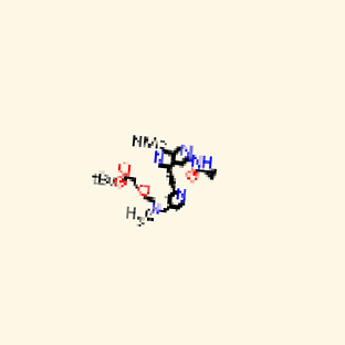 CNc1ncc(C#Cc2cc(CN(C)CCOCCC(=O)OC(C)(C)C)ccn2)c2cc(NC(=O)C3CC3)ncc12